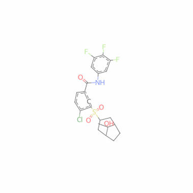 CC1(O)C2CCC1CC(S(=O)(=O)c1cc(C(=O)Nc3cc(F)c(F)c(F)c3)ccc1Cl)C2